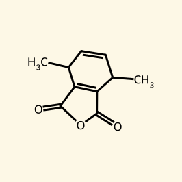 CC1C=CC(C)C2=C1C(=O)OC2=O